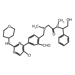 CN(CC(=O)N(C)C(CO)c1ccccc1)Cc1ccc(-c2nc(NC3CCOCC3)ncc2Cl)cc1C=O